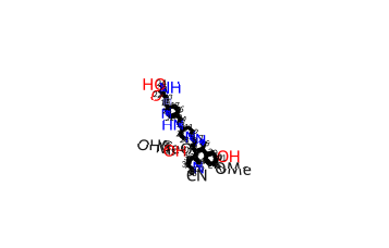 COc1ccc(-c2cnc(N3CCC(NCc4ccc(/C=C/C(=O)NO)nc4)CC3)c(OC)c2-c2ccc(C#N)nc2)cc1O.O=CO